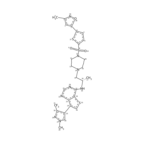 Cc1cc(-c2ccc(S(=O)(=O)N3CCN(C[C@H](C)Nc4ncnc5c(-c6cn(C)nc6C(F)(F)F)csc45)CC3)s2)on1